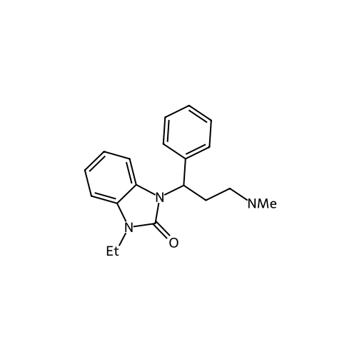 CCn1c(=O)n(C(CCNC)c2ccccc2)c2ccccc21